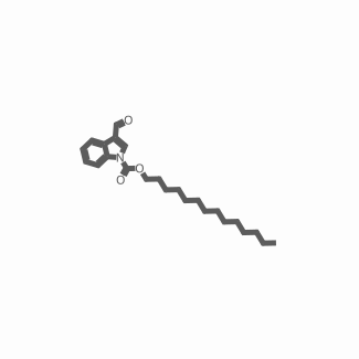 CCCCCCCCCCCCCCOC(=O)n1cc(C=O)c2ccccc21